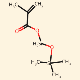 C=C(C)C(=O)O[SiH2]O[Si](C)(C)C